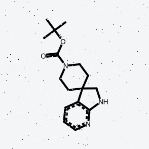 CC(C)(C)OC(=O)N1CCC2(CC1)CNc1ncccc12